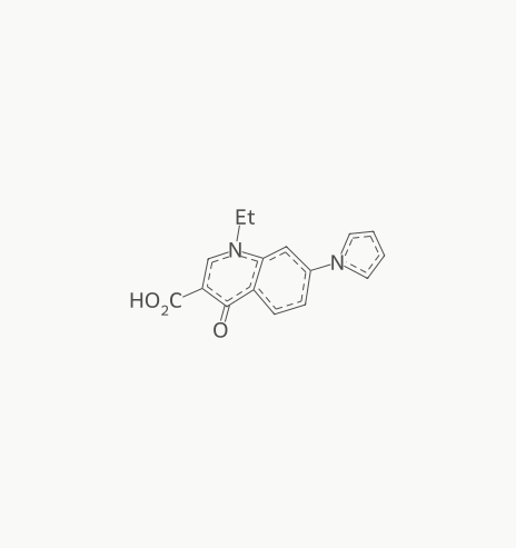 CCn1cc(C(=O)O)c(=O)c2ccc(-n3cccc3)cc21